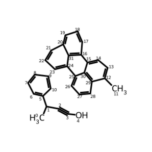 CC(C#CO)c1ccccc1.Cc1ccc2c3cccc4cccc(c5cccc1c52)c43